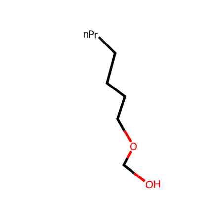 CCCCCCCOCO